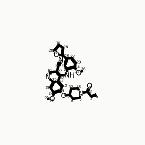 C=CC(=O)N1CCC(Oc2cc3c(Nc4cc(-c5ccco5)ccc4OC)c(C#N)cnc3cc2OC)CC1